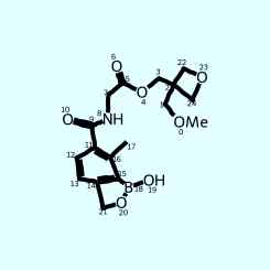 COCC1(COC(=O)CNC(=O)c2ccc3c(c2C)B(O)OC3)COC1